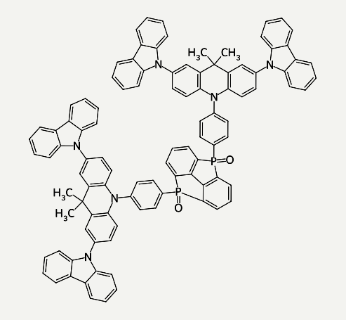 CC1(C)c2cc(-n3c4ccccc4c4ccccc43)ccc2N(c2ccc(P3(=O)c4cccc5c4-c4c3cccc4P5(=O)c3ccc(N4c5ccc(-n6c7ccccc7c7ccccc76)cc5C(C)(C)c5cc(-n6c7ccccc7c7ccccc76)ccc54)cc3)cc2)c2ccc(-n3c4ccccc4c4ccccc43)cc21